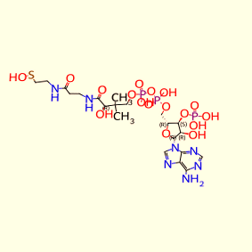 CC(C)(COP(=O)(O)OP(=O)(O)OC[C@H]1O[C@@H](n2cnc3c(N)ncnc32)[C@H](O)[C@@H]1OP(=O)(O)O)[C@@H](O)C(=O)NCCC(=O)NCCSO